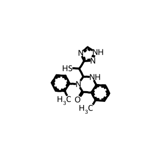 Cc1ccccc1N1C(=O)c2c(C)cccc2NC1C(S)c1nc[nH]n1